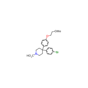 COCCOc1ccc(C2(c3ccc(Br)cc3)CCN(C(=O)O)CC2)cc1